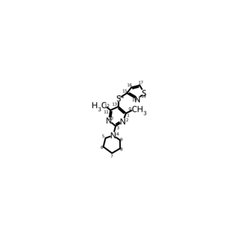 Cc1nc(N2CCCCC2)nc(C)c1Sc1ccsn1